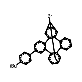 CCC(C)c1ccc(-c2ccc3c(c2)-c2ccc4cc2-c2ccccc2-c2cc5c(cc2-3)C5(Br)C4)cc1